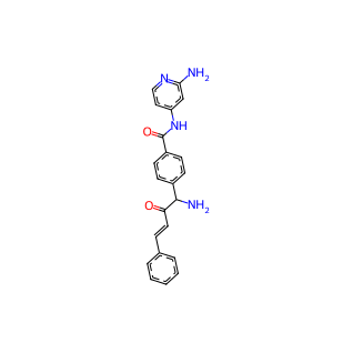 Nc1cc(NC(=O)c2ccc(C(N)C(=O)C=Cc3ccccc3)cc2)ccn1